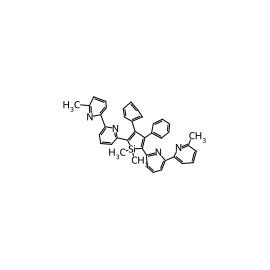 Cc1cccc(-c2cccc(C3=C(c4ccccc4)C(c4ccccc4)=C(c4cccc(-c5cccc(C)n5)n4)[Si]3(C)C)n2)n1